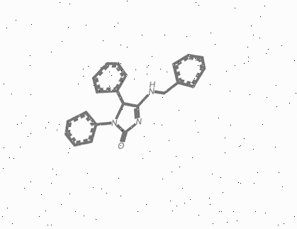 O=C1N=C(NCc2ccccc2)C(c2ccccc2)N1c1ccccc1